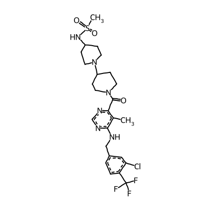 Cc1c(NCc2ccc(C(F)(F)F)c(Cl)c2)ncnc1C(=O)N1CCC(N2CCC(NS(C)(=O)=O)CC2)CC1